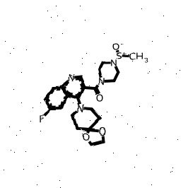 C[S+]([O-])N1CCN(C(=O)c2cnc3ccc(F)cc3c2N2CCC3(CC2)OCCO3)CC1